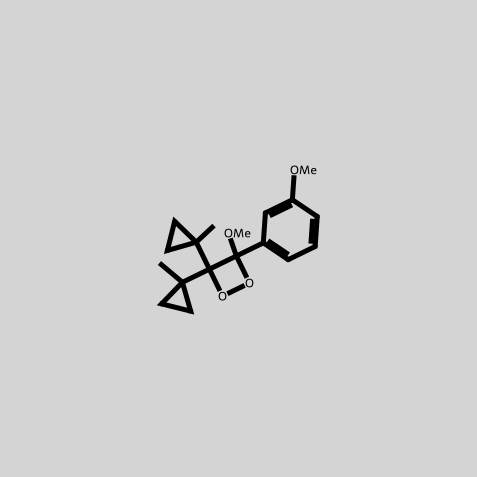 COc1cccc(C2(OC)OOC2(C2(C)CC2)C2(C)CC2)c1